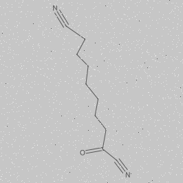 N#CCCCCCCCC(=O)C#N